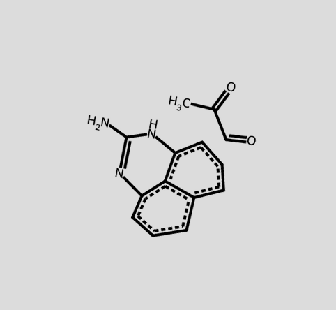 CC(=O)C=O.NC1=Nc2cccc3cccc(c23)N1